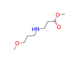 COCCCNCCC(=O)OC